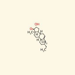 CC[C@H]1CC[C@@]2(C)C(=CC[C@@H]3[C@@H]2CC[C@]2(C)C(=O)[C@H](O)C[C@@H]32)C1